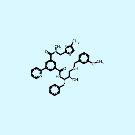 COc1cccc(CNC[C@@H](O)[C@H](Cc2ccccc2)NC(=O)c2cc(C(=O)N(C)Cc3nc(C)cs3)cc(-c3ccccn3)c2)c1